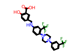 O=C(O)c1cc(CNc2ccc(N3CCN(c4cccc(C(F)(F)F)c4)CC3)c(C(F)(F)F)c2)ccc1O